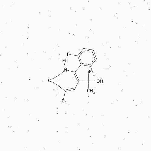 CCN1C(c2c(F)cccc2F)=C(C(C)(O)C(C)C)C=C(Cl)C2OC21